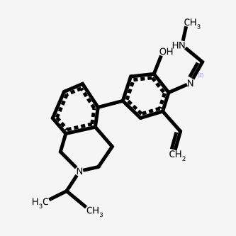 C=Cc1cc(-c2cccc3c2CCN(C(C)C)C3)cc(O)c1/N=C\NC